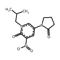 CC(C)Cn1cc(N2CCCC2=O)cc([N+](=O)[O-])c1=O